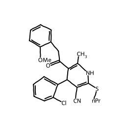 CCCSC1=C(C#N)C(c2ccccc2Cl)C(C(=O)Cc2ccccc2OC)=C(C)N1